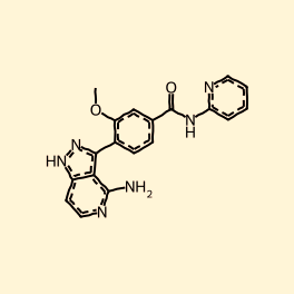 COc1cc(C(=O)Nc2ccccn2)ccc1-c1n[nH]c2ccnc(N)c12